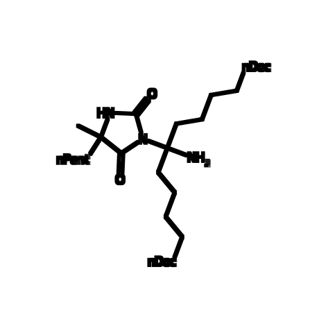 CCCCCCCCCCCCCCC(N)(CCCCCCCCCCCCCC)N1C(=O)NC(C)(CCCCC)C1=O